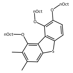 CCCCCCCCOc1ccc2sc3cc(C)c(C)c(OCCCCCCCC)c3c2c1OCCCCCCCC